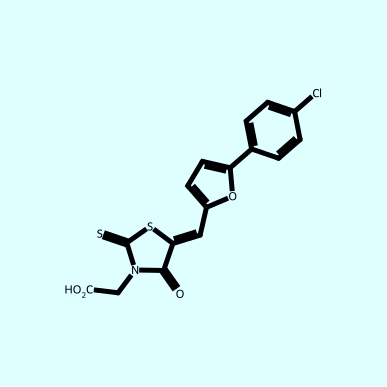 O=C(O)CN1C(=O)C(=Cc2ccc(-c3ccc(Cl)cc3)o2)SC1=S